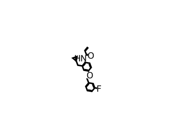 C=CC(=O)Nc1ccc(OCc2cccc(F)c2)cc1CC1CC1